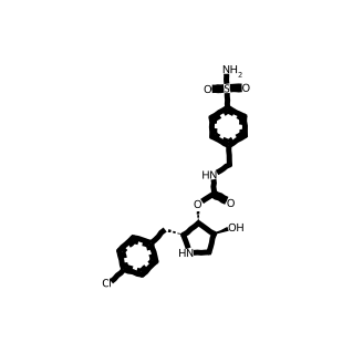 NS(=O)(=O)c1ccc(CNC(=O)O[C@@H]2[C@@H](O)CN[C@@H]2Cc2ccc(Cl)cc2)cc1